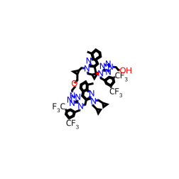 Cc1cccc2cc(CN(Cc3cc(C(F)(F)F)cc(C(F)(F)F)c3)c3nnn(CCOCC4CC4CN(CC4CC4)c4nc5c(C)cccc5cc4CN(Cc4cc(C(F)(F)F)cc(C(F)(F)F)c4)c4nnn(CCO)n4)n3)c(N(CC3CC3)CC3CC3)nc12